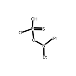 CCN(OP(O)(=S)Cl)C(C)C